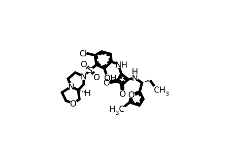 CC[C@@H](Nc1c(Nc2ccc(Cl)c(S(=O)(=O)N3CCN4CCOC[C@@H]4C3)c2O)c(=O)c1=O)c1ccc(C)o1